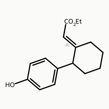 CCOC(=O)/C=C1\CCCCC1c1ccc(O)cc1